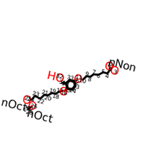 CCCCCCCCCOC(=O)CCCCCCCOc1ccc(OCCCCCCCC(=O)OC(CCCCCCCC)CCCCCCCC)c(CO)c1